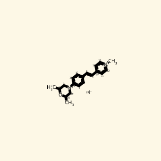 CC1CN(c2ccc(C=Cc3cc[n+](C)cc3)cc2)CC(C)O1.[I-]